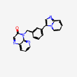 O=c1cnc2cccnc2n1Cc1cccc(-c2cnc3ccccn23)c1